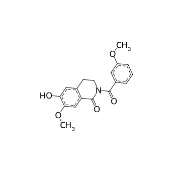 COc1cccc(C(=O)N2CCc3cc(O)c(OC)cc3C2=O)c1